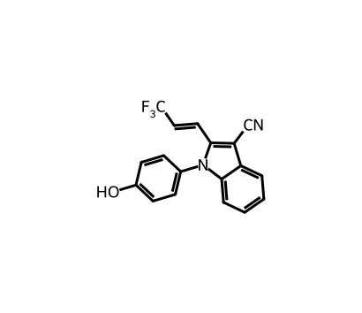 N#Cc1c(C=CC(F)(F)F)n(-c2ccc(O)cc2)c2ccccc12